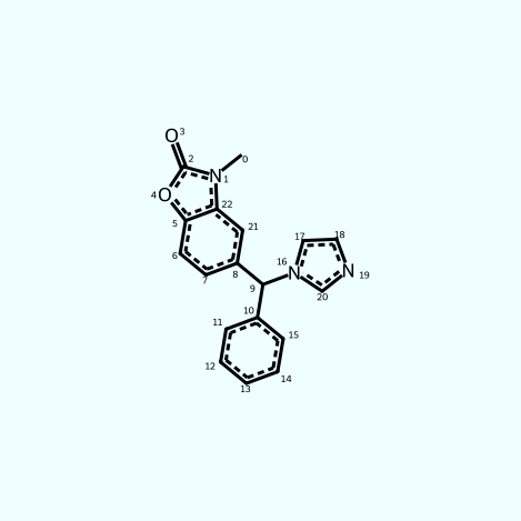 Cn1c(=O)oc2ccc(C(c3ccccc3)n3ccnc3)cc21